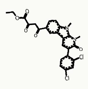 CCOC(=O)C(=O)CC(=O)c1ccc2c(c1)c1cc(-c3ccc(Cl)cc3Cl)c(=O)n(C)c1n2C